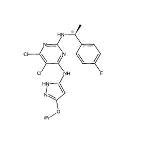 CC(C)Oc1cc(Nc2nc(N[C@@H](C)c3ccc(F)cc3)nc(Cl)c2Cl)[nH]n1